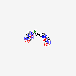 COC(=O)NC(C(=O)N1[C@@H]2CC[C@@H](C2)[C@H]1c1ncc(-c2ccc(-c3ccc4c(ccc5nc([C@@H]6CC7C(C)C7N6C(=O)[C@@H](NC(=O)OC)C(C)C)[nH]c54)c3)cc2F)[nH]1)C(C)C